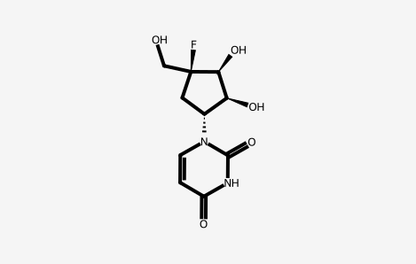 O=c1ccn([C@@H]2C[C@](F)(CO)[C@@H](O)[C@H]2O)c(=O)[nH]1